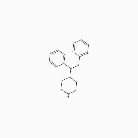 c1ccc(CC(c2ccccc2)C2CCNCC2)cc1